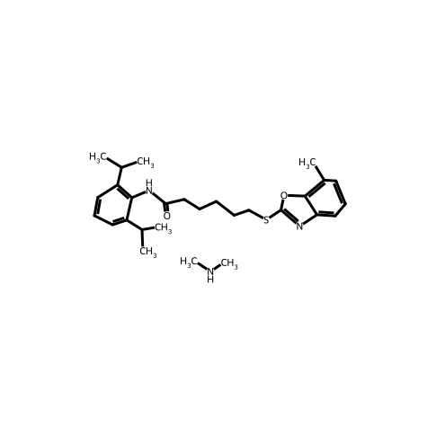 CNC.Cc1cccc2nc(SCCCCCC(=O)Nc3c(C(C)C)cccc3C(C)C)oc12